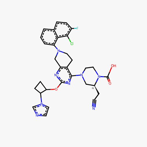 N#CC[C@H]1CN(c2nc(OC3CCC3n3ccnc3)nc3c2CCN(c2cccc4ccc(F)c(Cl)c24)C3)CCN1C(=O)O